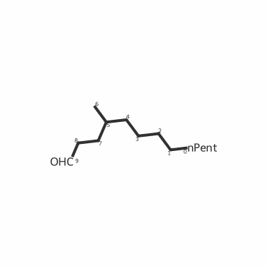 CCCCCCCCCC(C)CCC=O